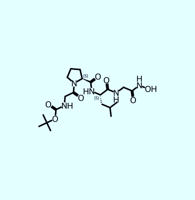 CC(C)C[C@H](NC(=O)[C@@H]1CCCN1C(=O)CNC(=O)OC(C)(C)C)C(=O)NCC(=O)NO